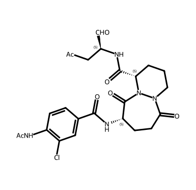 CC(=O)C[C@@H](C=O)NC(=O)[C@@H]1CCCN2C(=O)CC[C@H](NC(=O)c3ccc(NC(C)=O)c(Cl)c3)C(=O)N12